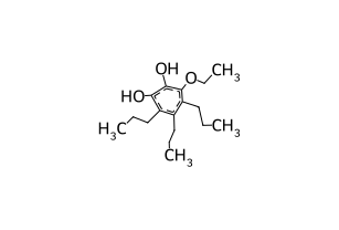 CCCc1c(O)c(O)c(OCC)c(CCC)c1CCC